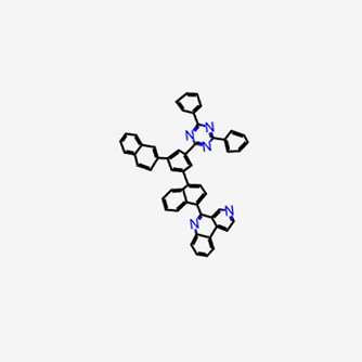 c1ccc(-c2nc(-c3ccccc3)nc(-c3cc(-c4ccc5ccccc5c4)cc(-c4ccc(-c5nc6ccccc6c6ccncc56)c5ccccc45)c3)n2)cc1